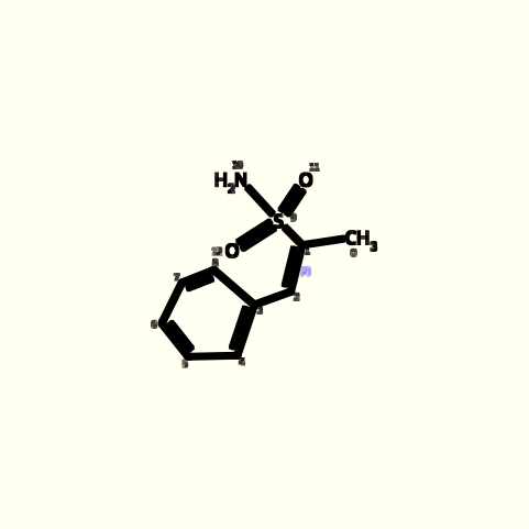 C/C(=C/c1ccccc1)S(N)(=O)=O